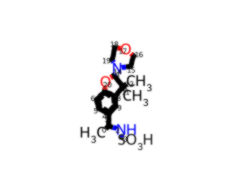 CC(NS(=O)(=O)O)c1ccc2c(c1)C(C)(C)C(N1CCOCC1)O2